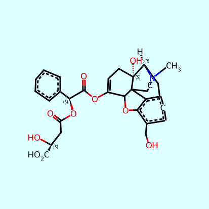 CN1CCC23c4c5ccc(CO)c4OC2C(OC(=O)[C@@H](OC(=O)C[C@H](O)C(=O)O)c2ccccc2)=CC[C@@]3(O)[C@H]1C5